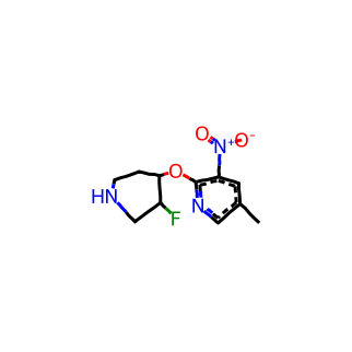 Cc1cnc(OC2CCNCC2F)c([N+](=O)[O-])c1